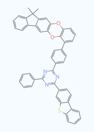 CC1(C)c2ccccc2-c2cc3c(cc21)Oc1cccc(-c2ccc(-c4nc(-c5ccccc5)nc(-c5ccc6c(c5)sc5ccccc56)n4)cc2)c1O3